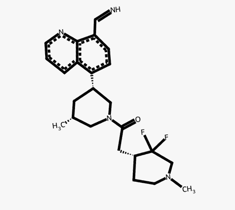 C[C@@H]1C[C@H](c2ccc(C=N)c3ncccc23)CN(C(=O)C[C@H]2CCN(C)CC2(F)F)C1